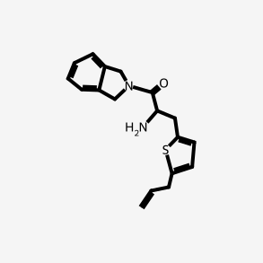 C=CCc1ccc(CC(N)C(=O)N2Cc3ccccc3C2)s1